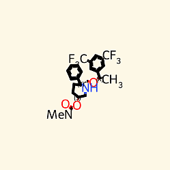 CNC(=O)O[C@H]1CC[C@@](CO[C@H](C)c2cc(C(F)(F)F)cc(C(F)(F)F)c2)(c2ccccc2)NC1